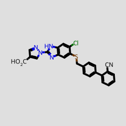 N#Cc1ccccc1-c1ccc(CSc2cc3nc(-n4cc(C(=O)O)cn4)[nH]c3cc2Cl)cc1